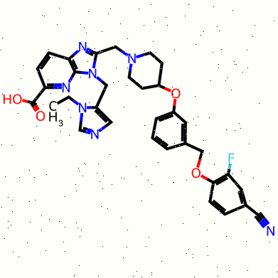 CCn1cncc1Cn1c(CN2CCC(Oc3cccc(COc4ccc(C#N)cc4F)c3)CC2)nc2ccc(C(=O)O)nc21